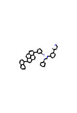 c1ccc(-c2cc(-c3cccc(-c4cccnc4)c3)nc(-c3cccc(-c4ccc5ccc6c(-c7cccc8ccccc78)ccc7ccc4c5c76)c3)n2)cc1